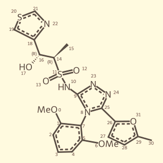 COc1cccc(OC)c1-n1c(NS(=O)(=O)[C@H](C)[C@H](O)c2cscn2)nnc1-c1ccc(C)o1